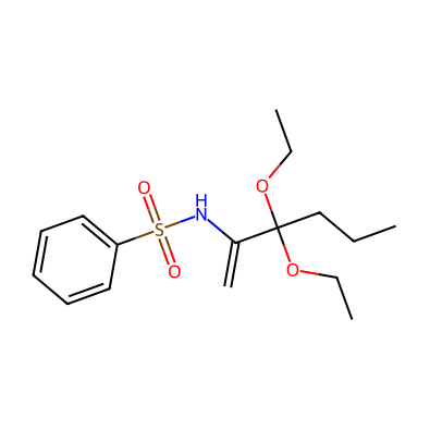 C=C(NS(=O)(=O)c1ccccc1)C(CCC)(OCC)OCC